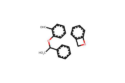 O=Cc1ccccc1OC(C(=O)O)c1ccccc1.c1ccc2c(c1)CO2